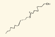 CCCCCCCCCCSSCCCCCCO